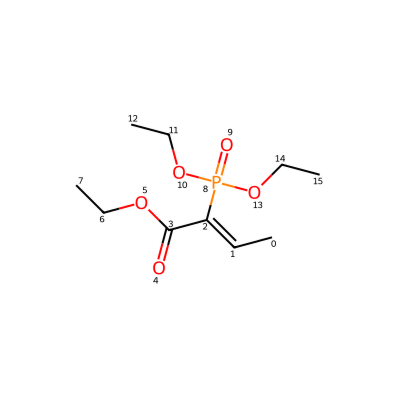 CC=C(C(=O)OCC)P(=O)(OCC)OCC